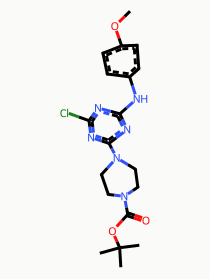 COc1ccc(Nc2nc(Cl)nc(N3CCN(C(=O)OC(C)(C)C)CC3)n2)cc1